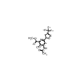 COC(=O)c1nc(C2CC(C(F)(F)F)=NO2)cc(NC(C)=O)c1Cl